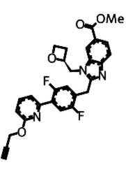 C#CCOc1cccc(-c2cc(F)c(Cc3nc4ccc(C(=O)OC)cc4n3C[C@@H]3CCO3)cc2F)n1